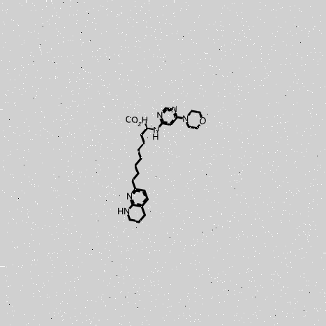 O=C(O)[C@H](CCCCCCCc1ccc2c(n1)NCCC2)Nc1cc(N2CCOCC2)ncn1